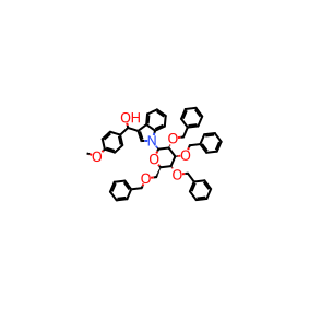 COc1ccc(C(O)c2cn([C@@H]3O[C@H](COCc4ccccc4)[C@@H](OCc4ccccc4)[C@H](OCc4ccccc4)[C@H]3OCc3ccccc3)c3ccccc23)cc1